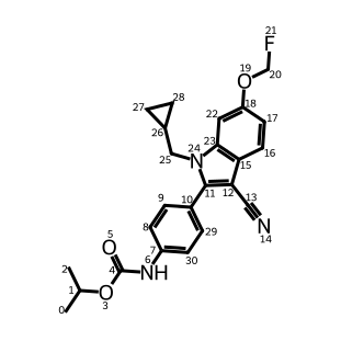 CC(C)OC(=O)Nc1ccc(-c2c(C#N)c3ccc(OCF)cc3n2CC2CC2)cc1